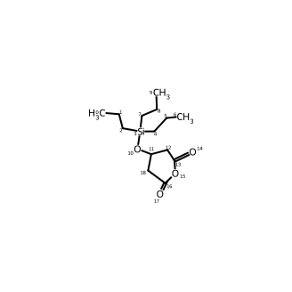 CCC[Si](CCC)(CCC)OC1CC(=O)OC(=O)C1